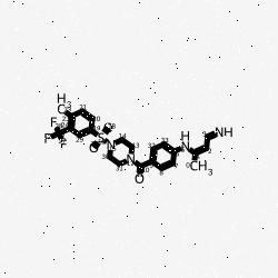 C/C(=C/C=N)Nc1ccc(C(=O)N2CCN(S(=O)(=O)c3ccc(C)c(C(F)(F)F)c3)CC2)cc1